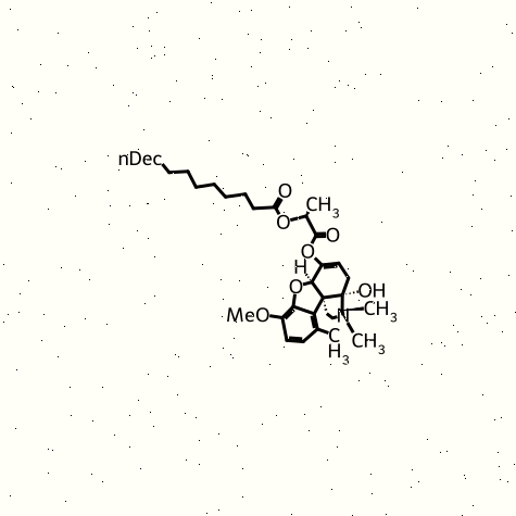 CCCCCCCCCCCCCCCCCC(=O)O[C@@H](C)C(=O)OC1=CC[C@@]2(O)[C@@H](C)N(C)CC[C@@]23c2c(C)ccc(OC)c2O[C@@H]13